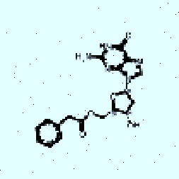 Nc1nc2c(ncn2[C@H]2C[C@H](O)[C@@H](COC(=O)Cc3ccccc3)O2)c(=O)[nH]1